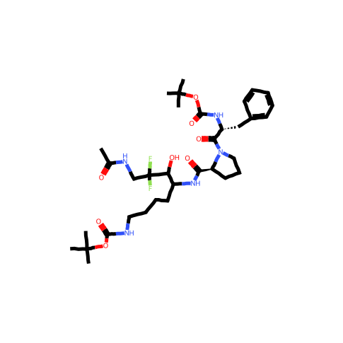 CC(=O)NCC(F)(F)C(O)C(CCCCNC(=O)OC(C)(C)C)NC(=O)[C@@H]1CCCN1C(=O)[C@@H](Cc1ccccc1)NC(=O)OC(C)(C)C